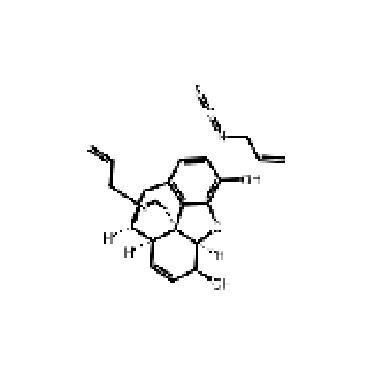 C=CCN1CC[C@]23c4c5ccc(O)c4O[C@H]2[C@@H](O)C=C[C@H]3[C@H]1C5.C=CCN=C=S